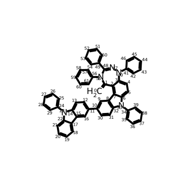 C=C1c2c(ccc3c2c2cc(-c4ccc5c(c4)c4ccccc4n5-c4ccccc4)ccc2n3-c2ccccc2)N(c2ccccc2)N=C(c2ccccc2)N1c1ccccc1